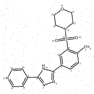 Cc1ccc(-c2nnc(-c3ccncc3)[nH]2)cc1S(=O)(=O)N1CCOCC1